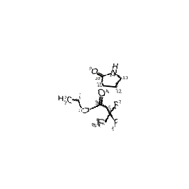 CCOC(=O)C(F)(F)F.O=C1CCCN1